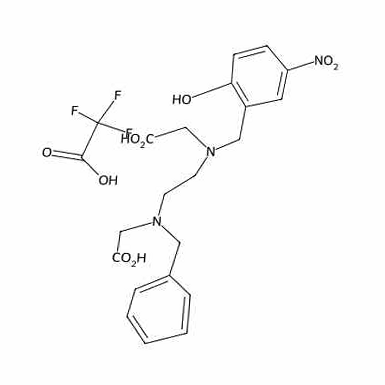 O=C(O)C(F)(F)F.O=C(O)CN(CCN(CC(=O)O)Cc1cc([N+](=O)[O-])ccc1O)Cc1ccccc1